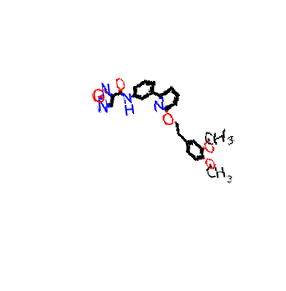 COc1ccc(CCOc2cccc(-c3cccc(NC(=O)c4cnon4)c3)n2)cc1OC